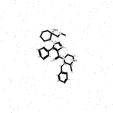 COC[C@]1(O)CCCC[C@H]1n1cnc(C(=O)N2CCNC(C)[C@H]2Cc2ccccc2)c1-c1ccccc1